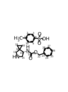 Cc1ccc(S(=O)(=O)O)cc1.O=C(N[C@@H]1CNCC12CC2)OCc1ccccc1